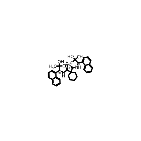 CC(C)(O)[C@@H](NC(=O)C1(C(=O)N[C@@H](c2cccc3ccccc23)C(C)(C)O)CCCCC1)c1cccc2ccccc12